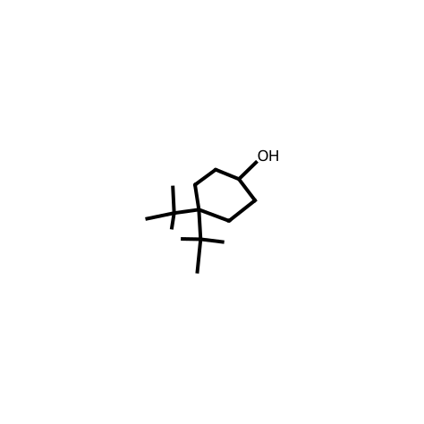 CC(C)(C)C1(C(C)(C)C)CCC(O)CC1